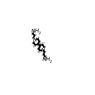 NCCCN1CC=C(C2=CCN(CCCN)CC2)CC1